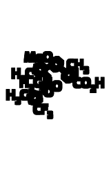 COc1ccc(-c2ccc(C(=O)O)nc2C)cc1-c1ccc(C)cc1CN1C(=O)O[C@H](c2cc(C)cc(C(F)(F)F)c2)[C@@H]1C